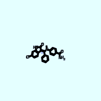 CN(/C(=C1\C(=O)Nc2cc(Cl)ccc21)c1ccccc1)c1ccc(C(N)=O)cc1